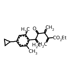 C=C(C(=C)C(=O)C(=C)c1c(C)cc(C2CC2)cc1C)C(=O)OCC